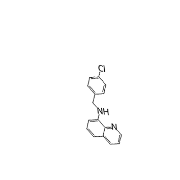 Clc1ccc(CNc2cccc3cccnc23)cc1